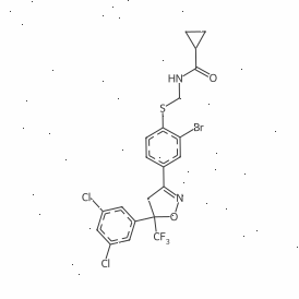 O=C(NCSc1ccc(C2=NOC(c3cc(Cl)cc(Cl)c3)(C(F)(F)F)C2)cc1Br)C1CC1